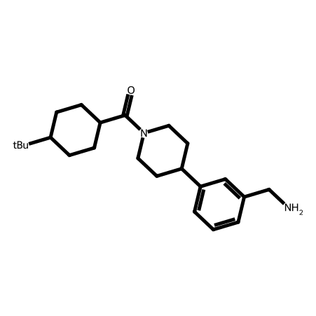 CC(C)(C)C1CCC(C(=O)N2CCC(c3cccc(CN)c3)CC2)CC1